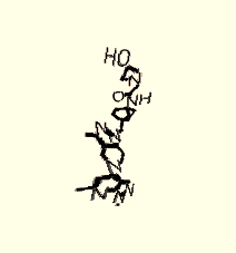 Cc1cc(N2CCc3c(c(C)nn3CC34CCC(NC(=O)CN5CC(O)C5)(CC3)C4)C2)c2cnn(C)c2n1